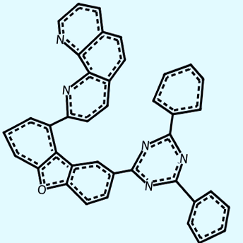 c1ccc(-c2nc(-c3ccccc3)nc(-c3ccc4oc5cccc(-c6ccc7ccc8cccnc8c7n6)c5c4c3)n2)cc1